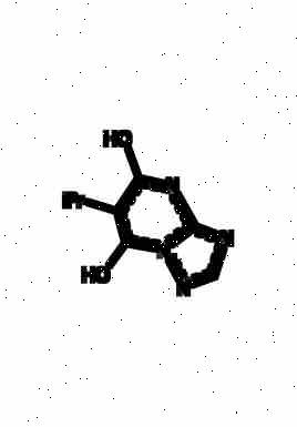 CC(C)c1c(O)nc2ncnn2c1O